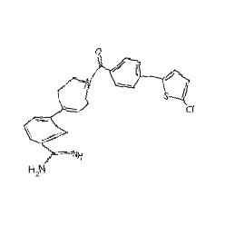 N=C(N)c1cccc(C2=CCN(C(=O)c3ccc(-c4ccc(Cl)s4)cc3)CC2)c1